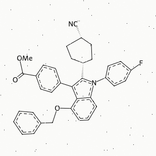 COC(=O)c1ccc(-c2c3c(OCc4ccccc4)cccc3n(-c3ccc(F)cc3)c2[C@H]2CC[C@@H](C#N)CC2)cc1